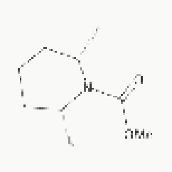 [CH2]OC(=O)N1[C@H](C)CCC[C@@H]1C